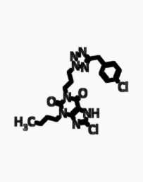 CCCCn1c(=O)n(CCCn2nnc(Cc3ccc(Cl)cc3)n2)c(=O)c2[nH]c(Cl)nc21